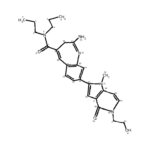 CCCN(CCC)C(=O)C1=Cc2ccc(-c3cc4c(=O)n(CCO)ccc4n3C)cc2N=C(N)C1